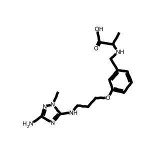 CC(NCc1cccc(OCCCNc2nc(N)nn2C)c1)C(=O)O